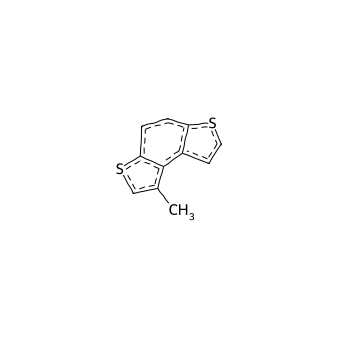 Cc1csc2ccc3sccc3c12